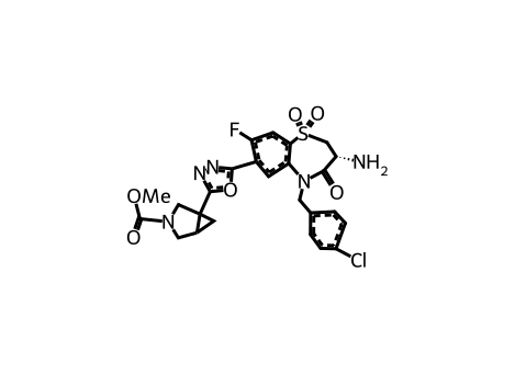 COC(=O)N1CC2CC2(c2nnc(-c3cc4c(cc3F)S(=O)(=O)C[C@H](N)C(=O)N4Cc3ccc(Cl)cc3)o2)C1